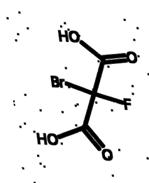 O=C(O)C(F)(Br)C(=O)O